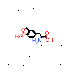 NC(Cc1ccc2c(c1)COB2O)C(=O)O